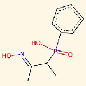 CC(=NO)C(C)P(=O)(O)c1ccccc1